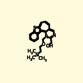 C[Si](C)(C)CCOCN1C(CO)=NC=C2C=CC=c3sc4ccccc4c3=C21